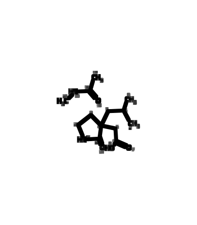 CC(C)CC1(CC(=O)O)CCNC1=O.CNC(C)=O